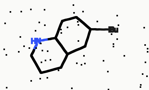 CCC(C)C1CCC2NCCCC2C1